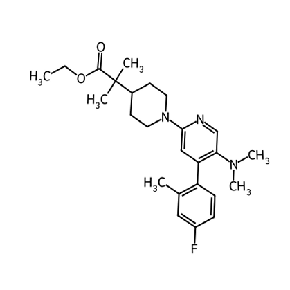 CCOC(=O)C(C)(C)C1CCN(c2cc(-c3ccc(F)cc3C)c(N(C)C)cn2)CC1